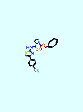 N#Cc1ccc(-c2csc(NC(=O)[C@@H]3CCCN3C(=O)OCc3ccccc3)n2)cc1